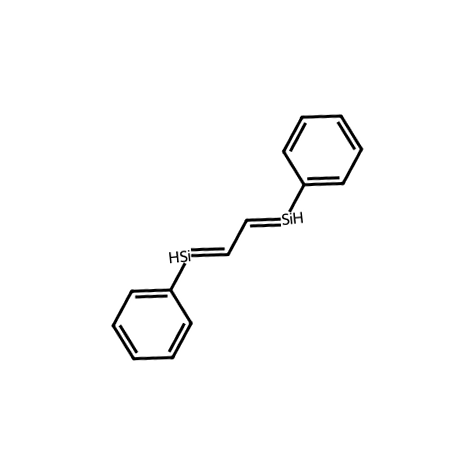 C(C=[SiH]c1ccccc1)=[SiH]c1ccccc1